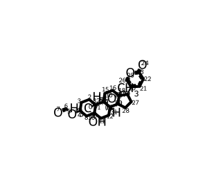 C[C@]12CC[C@H](OC=O)C[C@@]1(O)CC[C@@H]1[C@@H]2CC[C@]2(C)[C@@H](c3ccc(=O)oc3)CC[C@]12O